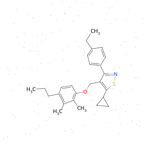 CCCc1ccc(OCc2c(-c3ccc(CC)cc3)nsc2C2CC2)c(C)c1C